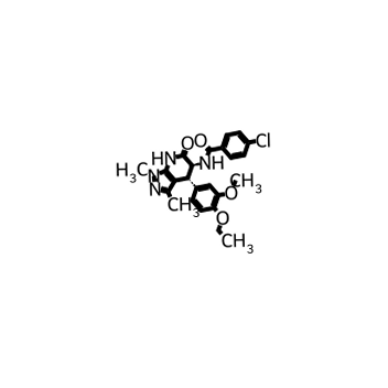 CCOc1ccc([C@@H]2c3c(C)nn(C)c3NC(=O)[C@H]2NC(=O)c2ccc(Cl)cc2)cc1OC